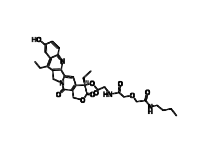 CCCCNC(=O)COCC(=O)NCC(=O)O[C@]1(CC)C(=O)OCc2c1cc1n(c2=O)Cc2c-1nc1ccc(O)cc1c2CC